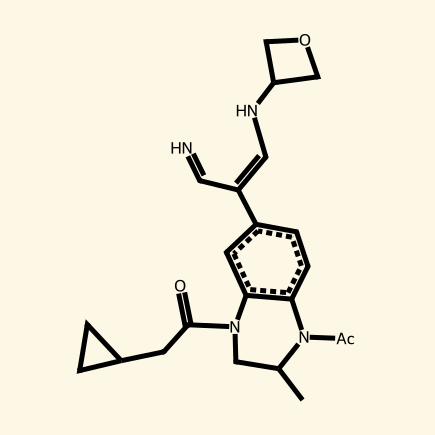 CC(=O)N1c2ccc(/C(C=N)=C/NC3COC3)cc2N(C(=O)CC2CC2)CC1C